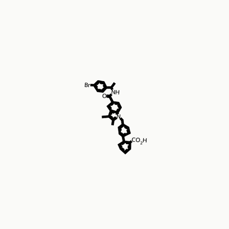 Cc1c(C)n(Cc2ccc(-c3ccccc3C(=O)O)cc2)c2ccc(C(=O)NC(C)c3ccc(Br)cc3)cc12